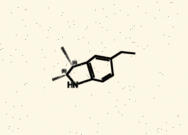 CCc1ccc2c(c1)[C@@H](C)[C@@H](C)N2